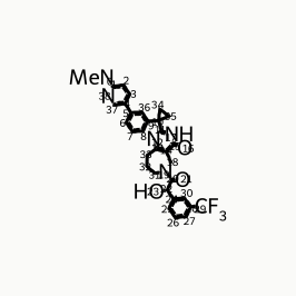 CNc1ccc(-c2cccc(C3(c4nc5c(c(=O)[nH]4)CN(C(=O)[C@H](O)c4cccc(C(F)(F)F)c4)CCC5)CC3)c2)cn1